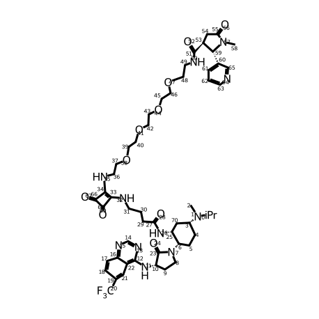 CC(C)N(C)[C@@H]1CC[C@H](N2CC[C@H](Nc3ncnc4ccc(C(F)(F)F)cc34)C2=O)[C@H](NC(=O)CCCNc2c(NCCOCCOCCOCCOCCNC(=O)[C@H]3CC(=O)N(C)[C@@H]3c3cccnc3)c(=O)c2=O)C1